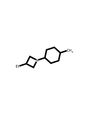 CCC1CN(C2CCC(C)CC2)C1